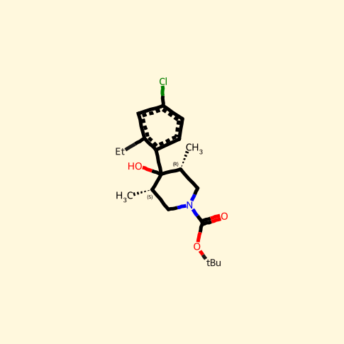 CCc1cc(Cl)ccc1C1(O)[C@H](C)CN(C(=O)OC(C)(C)C)C[C@@H]1C